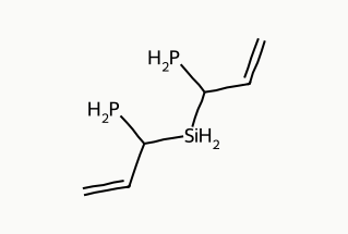 C=CC(P)[SiH2]C(P)C=C